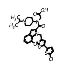 Cc1cccc2cc(C(=O)N(CC(=O)O)C3CCN(C(C)C)CC3)n(Cc3cc(-c4ccc(Cl)s4)on3)c12